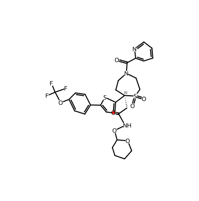 O=C(C[C@]1(c2ccc(-c3ccc(OC(F)(F)F)cc3)s2)CCN(C(=O)c2ccccn2)CCS1(=O)=O)NOC1CCCCO1